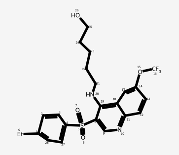 CCc1ccc(S(=O)(=O)c2cnc3ccc(OC(F)(F)F)cc3c2NCCCCCO)cc1